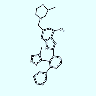 CC1CN(Cc2cc(C(F)(F)F)c3oc(-c4cccc(-c5ccccc5)c4-c4nncn4C)nc3c2)CCO1